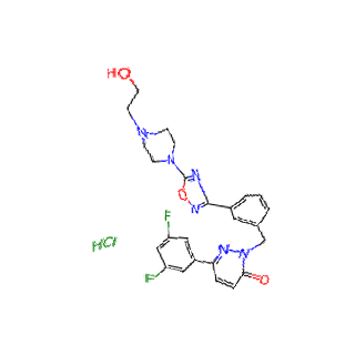 Cl.O=c1ccc(-c2cc(F)cc(F)c2)nn1Cc1cccc(-c2noc(N3CCN(CCO)CC3)n2)c1